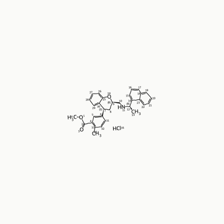 COC(=O)c1cc([C@@H]2C[C@H](CN[C@H](C)c3cccc4ccccc34)Oc3ccccc32)ccc1C.Cl